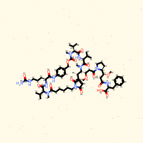 CC[C@H](C)[C@@H](C(CC(=O)N1CCC[C@H]1[C@H](OC)[C@@H](C)C(=O)NC(Cc1ccccc1)C(=O)O)OC)N(C)C(=O)[C@@H](NC(=O)[C@H](C(C)C)N(C)C(=O)OCc1ccc(NC(=O)[C@H](CCCNC(N)=O)NC(=O)C(C(C)C)N(C)C(=O)CCCCCN2C(=O)C=CC2=O)cc1)C(C)C